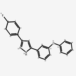 FC1C=CC(c2cc(-c3cccc(Oc4ccccc4)c3)[nH]n2)=CC1